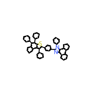 c1ccc(-c2c(-c3ccccc3)c3sc(-c4ccc(-c5nc6c7ccccc7c7ccccc7c6n5-c5ccccc5)cc4)c(-c4ccccc4)c3c3ccccc23)cc1